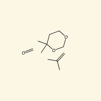 C=C(C)C.C=O.CC1(C)CCOCO1